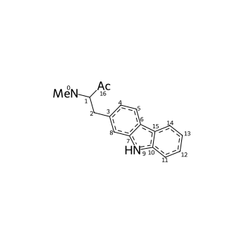 CNC(Cc1ccc2c(c1)[nH]c1ccccc12)C(C)=O